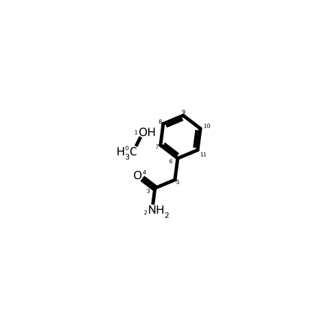 CO.NC(=O)Cc1ccccc1